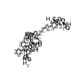 Cn1c(=O)n(C2CCC(=O)NC2=O)c2ccc(C3CC(CCCCC(=O)N4CC[C@H]5CC[C@@H](C(=O)N[C@@H](CCC(N)=O)C(=O)NC(c6ccccc6)c6ccccc6)N5C(=O)[C@@H](NC(=O)OC(C)(C)C)C4)C3)cc21